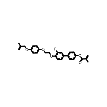 C=C(C)COc1ccc(OCCOc2ccc(-c3ccc(OC(=O)C(=C)C)cc3)cc2F)cc1